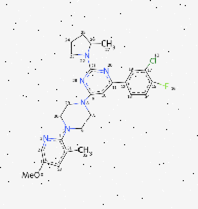 COc1cnc(N2CCN(c3cc(-c4ccc(F)c(Cl)c4)nc(N4CCCC4C)n3)CC2)c(C)c1